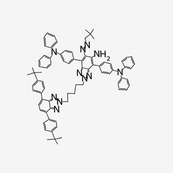 CC(C)(C)C/N=N/c1c(N)c(-c2ccc(N(c3ccccc3)c3ccccc3)cc2)c2nn(CCCCCn3nc4c(-c5ccc(C(C)(C)C)cc5)ccc(-c5ccc(C(C)(C)C)cc5)c4n3)nc2c1-c1ccc(N(c2ccccc2)c2ccccc2)cc1